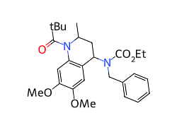 CCOC(=O)N(Cc1ccccc1)C1CC(C)N(C(=O)C(C)(C)C)c2cc(OC)c(OC)cc21